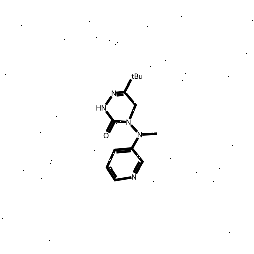 CN(c1cccnc1)N1CC(C(C)(C)C)=NNC1=O